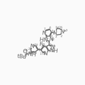 CN1CCN(c2ccnc3[nH]c(-c4n[nH]c5ncc(-c6cncc(NC(=O)C(C)(C)C)c6)c(F)c45)nc23)CC1